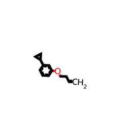 C=CCCOc1cccc(C2CC2)c1